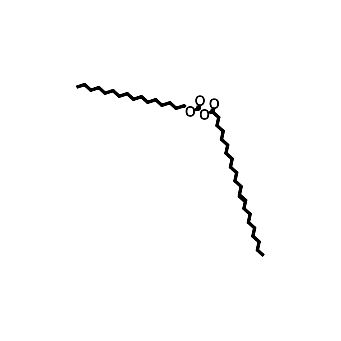 CCCCCCCCC=CCCCCCCCCCCCC(=O)OC(=O)OCCCCCCCCCCCCCCCC